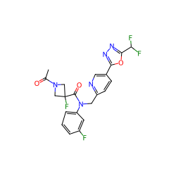 CC(=O)N1CC(F)(C(=O)N(Cc2ccc(-c3nnc(C(F)F)o3)cn2)c2cccc(F)c2)C1